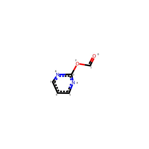 O=[C]Oc1ncccn1